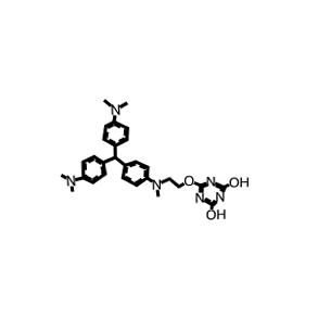 CN(C)c1ccc(C(c2ccc(N(C)C)cc2)c2ccc(N(C)CCOc3nc(O)nc(O)n3)cc2)cc1